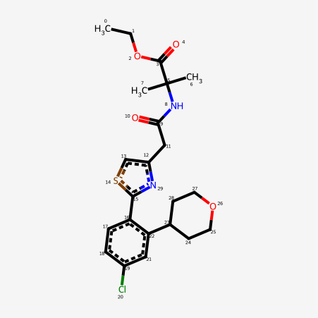 CCOC(=O)C(C)(C)NC(=O)Cc1csc(-c2ccc(Cl)cc2C2CCOCC2)n1